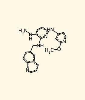 COc1cc(Nc2ccc(NN)c(NCc3ccc4ncccc4c3)n2)ccn1